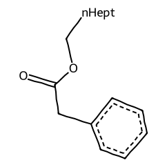 CCCCCCCCOC(=O)Cc1ccccc1